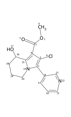 COC(=O)c1c(Cl)c(-c2cccnc2)n2c1C(O)CCC2